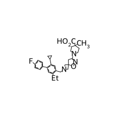 CCc1cc(-c2ccc(F)cc2)c(C2CC2)cc1CN1CC2(CC(N3CCC(C)(C(=O)O)CC3)=NO2)C1